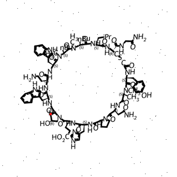 CCCC[C@H]1C(=O)N(C)[C@@H](CCCC)C(=O)N[C@@H](CC(C)C)C(=O)N[C@H](C(=O)NCC(N)=O)CSCC(=O)N[C@@H](Cc2ccc(O)cc2)C(=O)N(C)[C@@H](C)C(=O)N[C@@H](CC(N)=O)C(=O)N2CCC[C@H]2C(=O)N[C@@H](Cc2c[nH]cn2)C(=O)N[C@@H](CCC(=O)O)C(=O)N2C[C@H](O)C[C@H]2C(=O)N[C@@H](Cc2c[nH]c3ccccc23)C(=O)N[C@@H](CCN)C(=O)N[C@@H](Cc2c[nH]c3ccccc23)C(=O)N1C